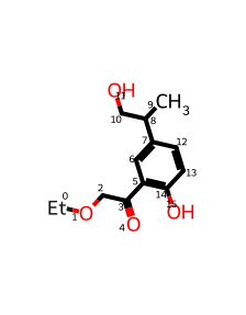 CCOCC(=O)c1cc(C(C)CO)ccc1O